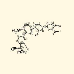 CC(C)[C@@H]1CN(c2ccc(-c3cnc(N)c(-c4ccc5c(c4)CCNC5=O)c3)c(F)c2)CCN1C